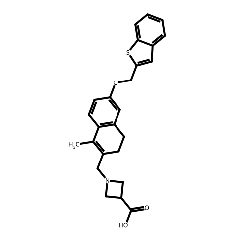 CC1=C(CN2CC(C(=O)O)C2)CCc2cc(OCc3cc4ccccc4s3)ccc21